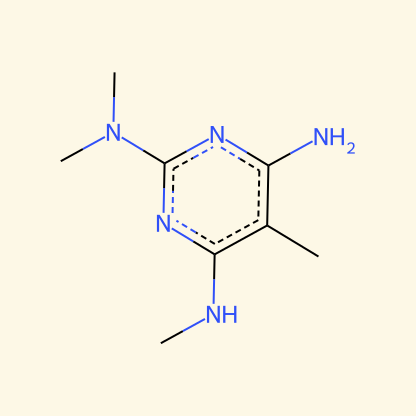 CNc1nc(N(C)C)nc(N)c1C